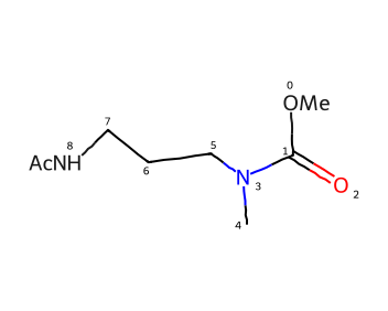 COC(=O)N(C)CCCNC(C)=O